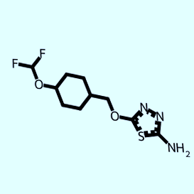 Nc1nnc(OCC2CCC(OC(F)F)CC2)s1